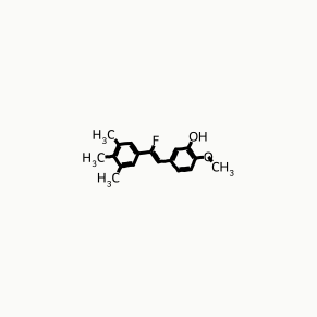 COc1ccc(/C=C(\F)c2cc(C)c(C)c(C)c2)cc1O